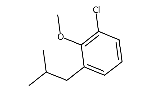 COc1c(Cl)cccc1CC(C)C